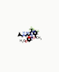 COc1ccc(COC(C)c2cc(F)ccc2N/C(=C\C(=N)C(F)(F)F)C(O)C(N)CNCC2CC2)cc1